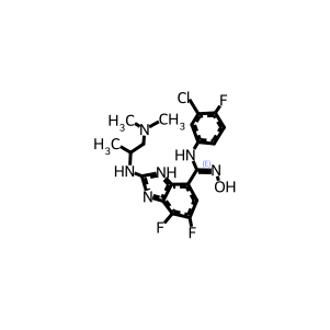 CC(CN(C)C)Nc1nc2c(F)c(F)cc(/C(=N\O)Nc3ccc(F)c(Cl)c3)c2[nH]1